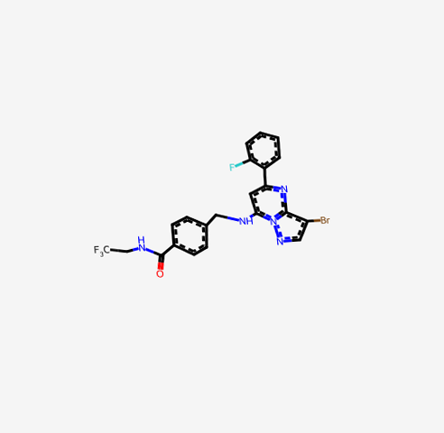 O=C(NCC(F)(F)F)c1ccc(CNc2cc(-c3ccccc3F)nc3c(Br)cnn23)cc1